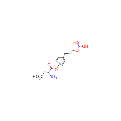 NC(CC(=O)O)C(=O)Oc1ccc(CCCON(O)O)cc1